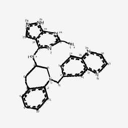 Nc1nc(NC2Cc3ccccc3N(Cc3ccc4nccnc4c3)C2)c2cn[nH]c2n1